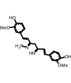 COc1cc(/C=C/C(=N)CC(/C=C/c2ccc(O)c(OC)c2)=NN)ccc1O